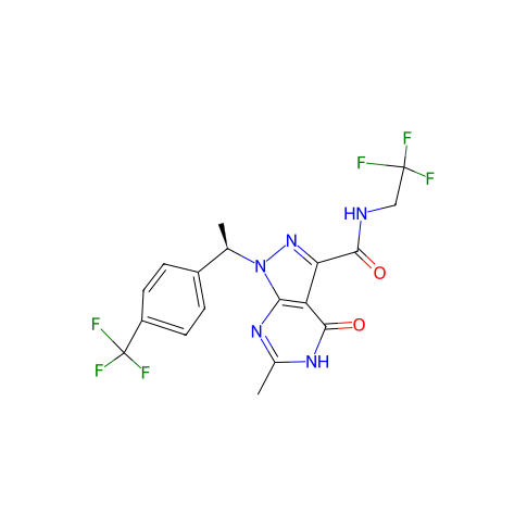 Cc1nc2c(c(C(=O)NCC(F)(F)F)nn2[C@H](C)c2ccc(C(F)(F)F)cc2)c(=O)[nH]1